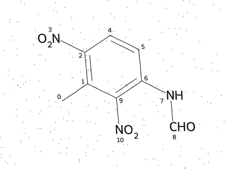 Cc1c([N+](=O)[O-])ccc(NC=O)c1[N+](=O)[O-]